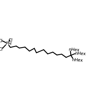 CCCCCCC(CCCCCC)(CCCCCC)CCCCCCCCCCCCC[PH](Cl)(Cl)Cl